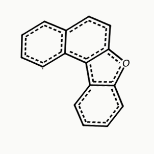 [c]1cccc2ccc3oc4ccccc4c3c12